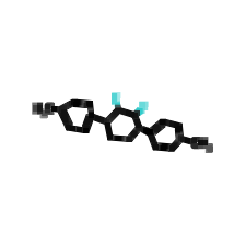 Cc1ccc(C2CC[C@H](c3ccc(C)cc3)[C@H](F)C2F)cc1